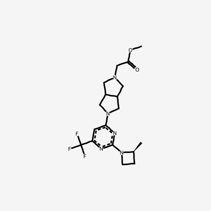 COC(=O)CN1CC2CN(c3cc(C(F)(F)F)nc(N4CC[C@@H]4C)n3)CC2C1